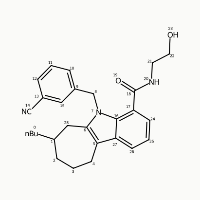 CCCCC1CCCc2c(n(Cc3cccc(C#N)c3)c3c(C(=O)NCCO)cccc23)C1